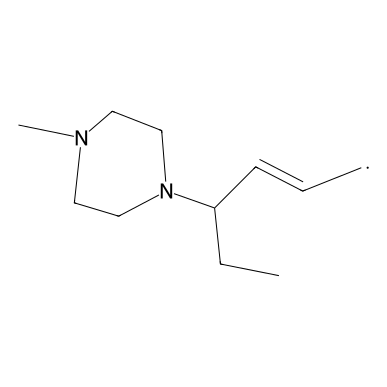 [CH2]C=CC(CC)N1CCN(C)CC1